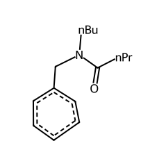 CCCCN(Cc1ccccc1)C(=O)CCC